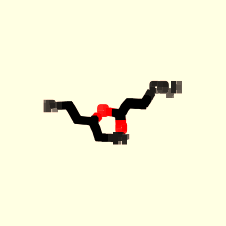 CC(C)CCC(CC(C)C)OC(=O)C=CC(=O)O